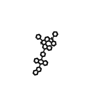 c1ccc(-c2nc3cc(-c4ccc(-c5c6ccccc6c(-c6ccc7ccccc7c6)c6ccccc56)cc4)c4ccccc4c3c3c2ccc2c3c3ccccc3n2-c2ccccc2)cc1